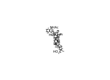 CC(=O)NCCN(Cc1ccccc1)C[C@H](O)[C@@]12CC[C@]3(C)[C@H](CC[C@@H]4[C@@]5(C)CCC(OC(=O)CC(C)(C)C(=O)O)C(C)(C)[C@@H]5CC[C@]43C)C1=C(C(C)C)C(=O)C2